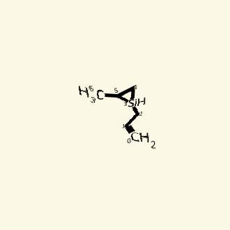 C=CC[SiH]1CC1C